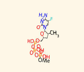 COP(=O)(O)OP(=O)(O)OP(=O)(O)OC[C@@H]1C[C@H](C)[C@H](n2cc(F)c(N)nc2=O)O1